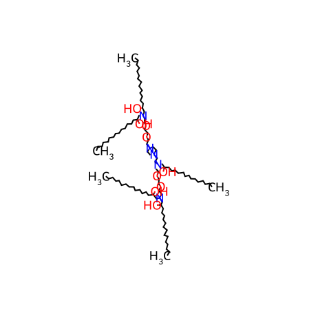 CCCCCCCCCCCCCCC(O)CN(CCOCCOCCN(CC(O)CCCCCCCCCCCCCC)CC(O)CCCCCCCCCCCCCC)CCN1CCN(CCOCCOCCN(CC(O)CCCCCCCCCCCCCC)CC(O)CCCCCCCCCCCCCC)CC1